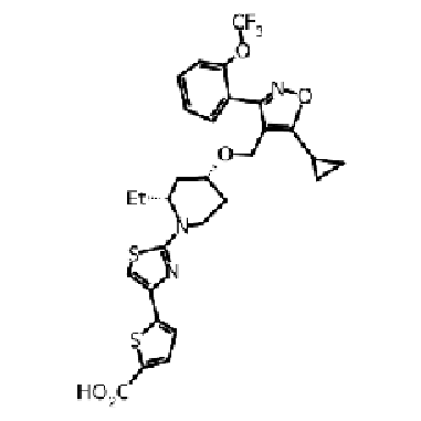 CC[C@@H]1C[C@H](OCc2c(-c3ccccc3OC(F)(F)F)noc2C2CC2)CCN1c1nc(-c2ccc(C(=O)O)s2)cs1